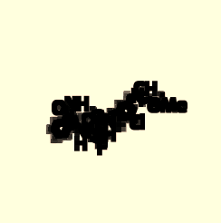 COCCN(C)Cc1cc(Cl)c(F)c(CNC(=O)[C@@H]2C[C@@H](F)CN2C(=O)Nc2cn(C(N)=O)c3ccccc23)c1